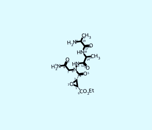 CCOC(=O)[C@@H]1O[C@@H]1C(=O)N(CC(N)=O)NC(=O)C(C)NC(=O)C(C)N